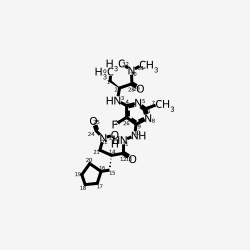 CC[C@H](Nc1nc(C)nc(NNC(=O)[C@H](CC2CCCC2)CN(O)C=O)c1F)C(=O)N(C)C